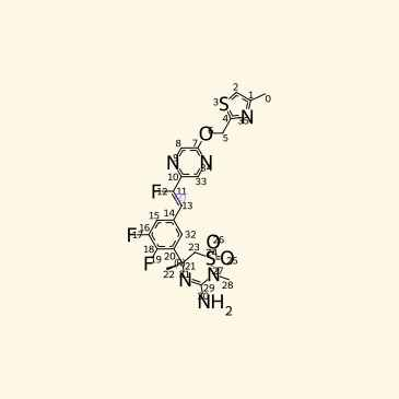 Cc1csc(COc2cnc(/C(F)=C/c3cc(F)c(F)c([C@]4(C)CS(=O)(=O)N(C)C(N)=N4)c3)cn2)n1